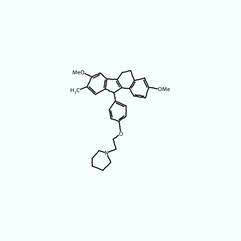 COc1ccc2c(c1)CCC1=C2C(c2ccc(OCCN3CCCCC3)cc2)c2cc(C)c(OC)cc21